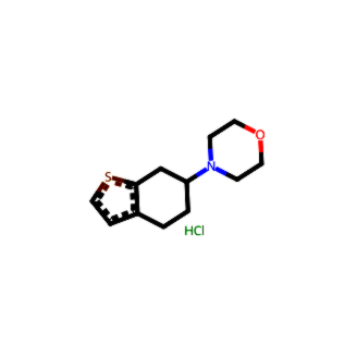 Cl.c1cc2c(s1)CC(N1CCOCC1)CC2